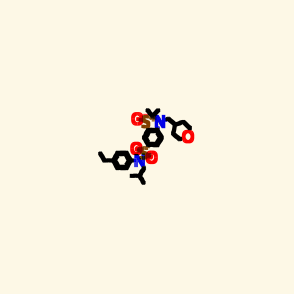 CCc1ccc(N(CC(C)C)S(=O)(=O)c2ccc3c(c2)[S+]([O-])C(C)(C)N3CC2CCOCC2)cc1